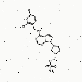 NS(=O)(=O)OC[C@H]1CC[C@H](n2ccc3c(NCc4ccc(Cl)cc4Cl)ncnc32)C1